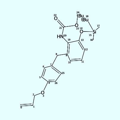 C=CCOc1ccc(Cc2cccc(O[Si](C)(C)C(C)(C)C)c2NC(=O)OC(C)(C)C)cc1